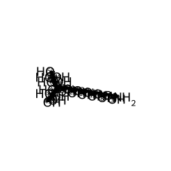 NCC(O)COCC(O)COCC(O)COCC(O)COCC(O)COCC(O)CN(C[C@H](O)[C@@H](O)[C@H](O)[C@H](O)CO)C[C@H](O)[C@@H](O)[C@H](O)[C@H](O)CO